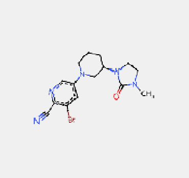 CN1CCN([C@@H]2CCCN(c3cnc(C#N)c(Br)c3)C2)C1=O